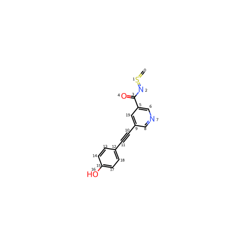 C=S=NC(=O)c1cncc(C#Cc2ccc(O)cc2)c1